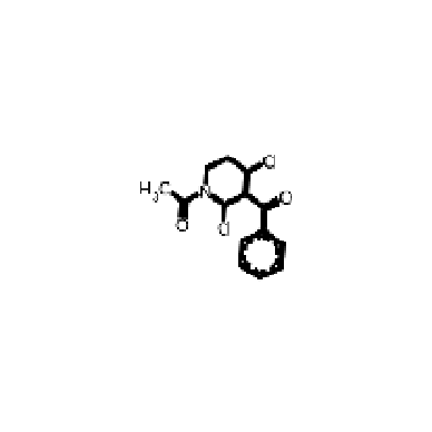 CC(=O)N1CCC(Cl)C(C(=O)c2ccccc2)C1Cl